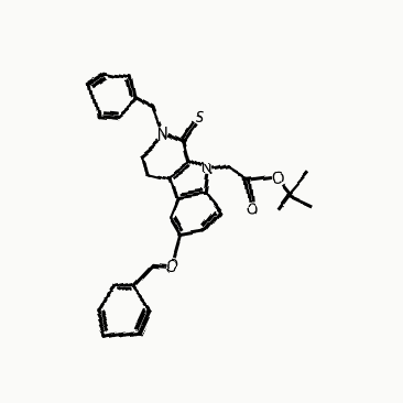 CC(C)(C)OC(=O)Cn1c2c(c3cc(OCc4ccccc4)ccc31)CCN(Cc1ccccc1)C2=S